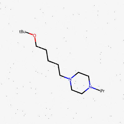 CC(C)N1CCN(CCCCCOC(C)(C)C)CC1